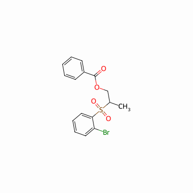 CC(COC(=O)c1ccccc1)S(=O)(=O)c1ccccc1Br